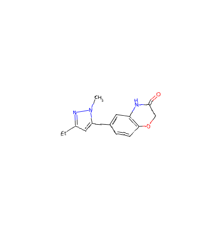 CCc1cc(-c2ccc3c(c2)NC(=O)CO3)n(C)n1